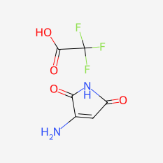 NC1=CC(=O)NC1=O.O=C(O)C(F)(F)F